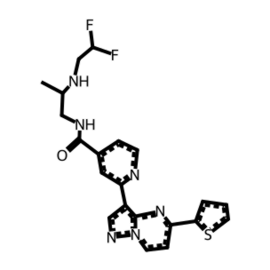 CC(CNC(=O)c1ccnc(-c2cnn3ccc(-c4cccs4)nc23)c1)NCC(F)F